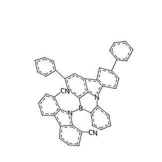 N#Cc1cccc2c3cccc(C#N)c3n(B3c4ccccc4-n4c5ccc(-c6ccccc6)cc5c5cc(-c6ccccc6)cc3c54)c12